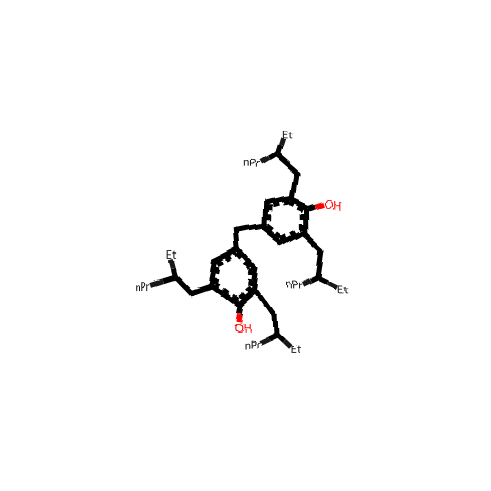 CCCC(CC)Cc1cc(Cc2cc(CC(CC)CCC)c(O)c(CC(CC)CCC)c2)cc(CC(CC)CCC)c1O